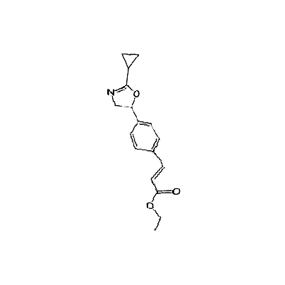 CCOC(=O)/C=C/c1ccc(C2CN=C(C3CC3)O2)cc1